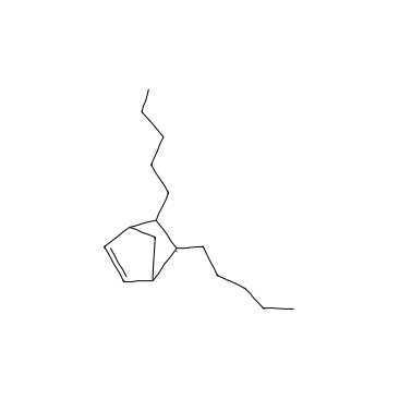 CCCCC[C]1C2C=CC(C2)C1CCCCC